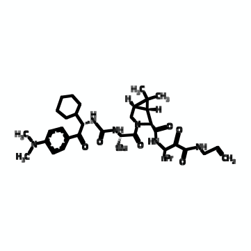 C=CCNC(=O)C(=O)C(CCC)NC(=O)[C@@H]1[C@@H]2[C@H](CN1C(=O)[C@@H](NC(=O)N[C@H](C(=O)c1ccc(N(C)C)cc1)C1CCCCC1)C(C)(C)C)C2(C)C